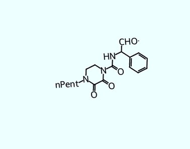 CCCCCN1CCN(C(=O)NC([C]=O)c2ccccc2)C(=O)C1=O